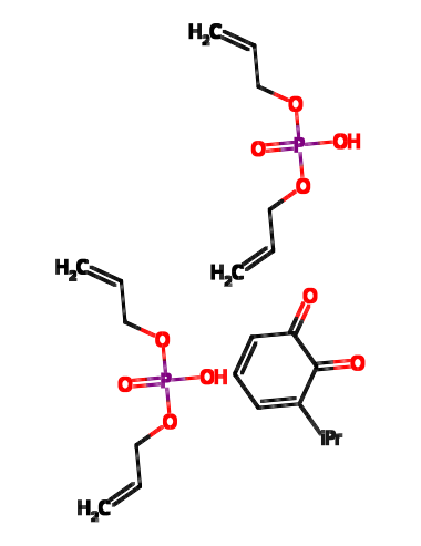 C=CCOP(=O)(O)OCC=C.C=CCOP(=O)(O)OCC=C.CC(C)C1=CC=CC(=O)C1=O